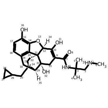 CNCC(C)(C)NC(=O)C1=C(O)[C@@H]2Oc3c(O)ccc4c3[C@@]23CCN(CC2CC2)[C@H](C4)[C@]3(O)C1